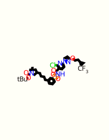 CC(C)(C)OC(=O)N1CC(CCCCc2cccc(S(=O)(=O)NC(=O)c3ccc(-n4ccc(OCCC5CC5C(F)(F)F)n4)nc3Cl)c2)CC1(C)C